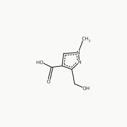 Cn1cc(C(=O)O)c(CO)n1